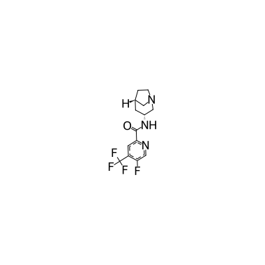 O=C(N[C@@H]1C[C@@H]2CCN(C2)C1)c1cc(C(F)(F)F)c(F)cn1